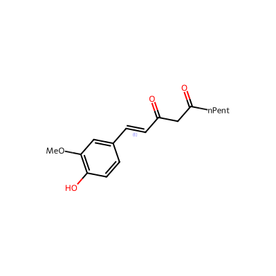 CCCCCC(=O)CC(=O)/C=C/c1ccc(O)c(OC)c1